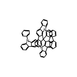 c1ccc(-c2cccc(-n3c4ccccc4c4ccc5c(c43)C3(c4ccccc4-5)c4ccccc4-c4ccc5c6ccccc6n(-c6ccc7c(c6)c6ccccc6n7-c6ccccc6)c5c43)c2)cc1